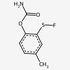 Cc1ccc(OC(N)=O)c(SF)c1